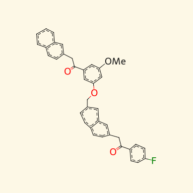 COc1cc(OCc2ccc3ccc(CC(=O)c4ccc(F)cc4)cc3c2)cc(C(=O)Cc2ccc3ccccc3c2)c1